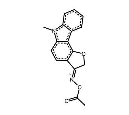 CC(=O)O/N=C1\COc2c1ccc1c2c2ccccc2n1C